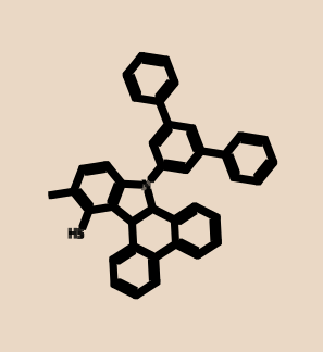 Cc1ccc2c(c1S)C1c3ccccc3-c3ccccc3C1N2c1cc(-c2ccccc2)cc(-c2ccccc2)c1